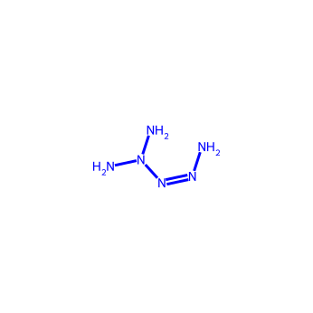 N/N=N\N(N)N